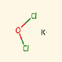 ClOCl.[K]